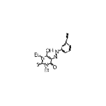 C#Cc1cccc(/N=N/c2c(O)n(CC)c(=S)n(CC)c2=O)c1